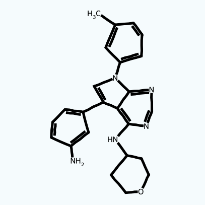 Cc1cccc(-n2cc(-c3cccc(N)c3)c3c(NC4CCOCC4)ncnc32)c1